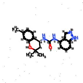 CC1(C)C[C@@H](NC(=O)Nc2cccc3[nH]ncc23)c2ccc(C(F)(F)F)cc2O1